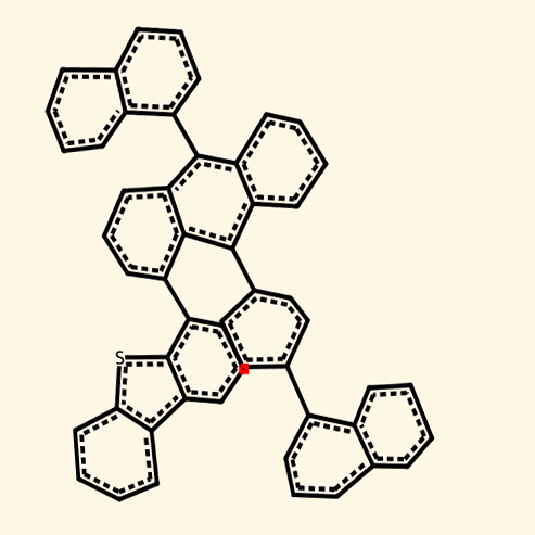 c1ccc2c(-c3ccc(-c4c5ccccc5c(-c5cccc6ccccc56)c5cccc(-c6cccc7c6sc6ccccc67)c45)cc3)cccc2c1